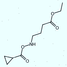 CCOC(=O)CCCNOC(=O)C1CC1